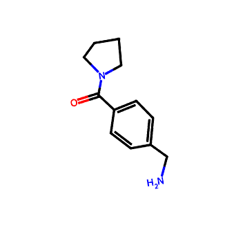 NCc1ccc(C(=O)N2CCCC2)cc1